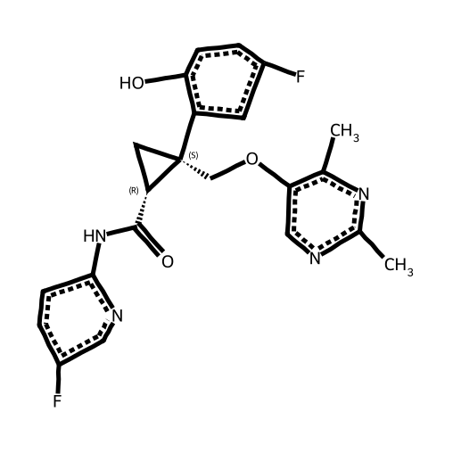 Cc1ncc(OC[C@@]2(c3cc(F)ccc3O)C[C@H]2C(=O)Nc2ccc(F)cn2)c(C)n1